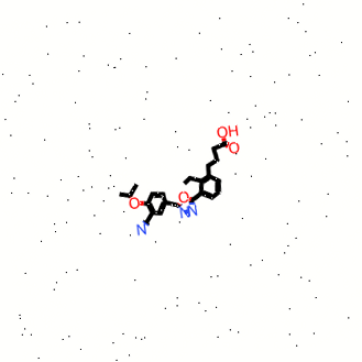 CCc1c(CCCC(=O)O)cccc1-c1nnc(-c2ccc(OC(C)C)c(C#N)c2)o1